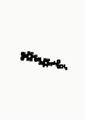 COC(=O)C#Cc1ccc(C=NOCc2ccc([N+](=O)[O-])cc2)cc1